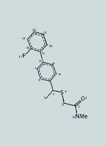 CNC(=O)CSC(C)c1ccc(-c2ccccc2F)cc1